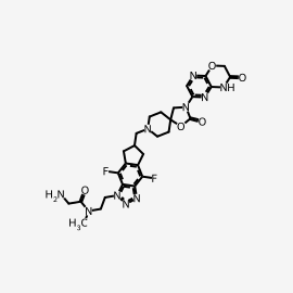 CN(CCn1nnc2c(F)c3c(c(F)c21)CC(CN1CCC2(CC1)CN(c1cnc4c(n1)NC(=O)CO4)C(=O)O2)C3)C(=O)CN